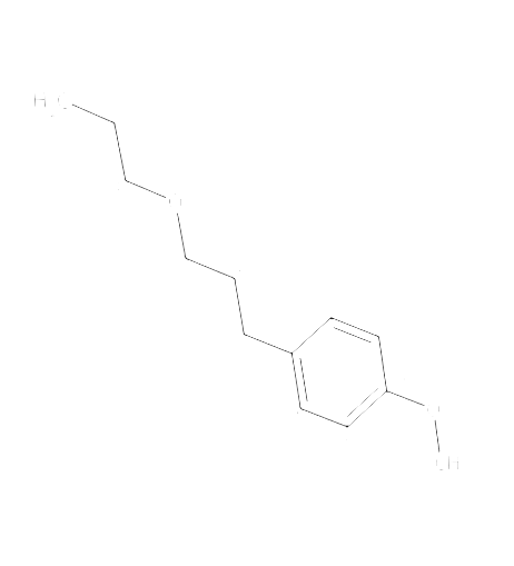 [CH2]CCOCCCc1ccc(OC)cc1